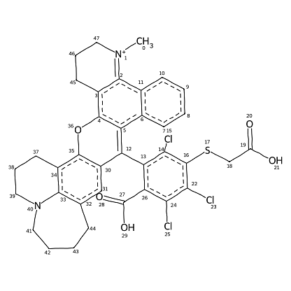 C[N+]1=c2c(c3c(c4ccccc24)=C(c2c(Cl)c(SCC(=O)O)c(Cl)c(Cl)c2C(=O)O)c2cc4c5c(c2O3)CCCN5CCCC4)CCC1